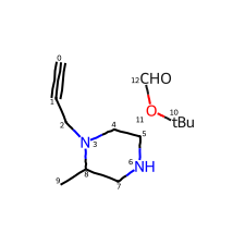 C#CCN1CCNCC1C.CC(C)(C)OC=O